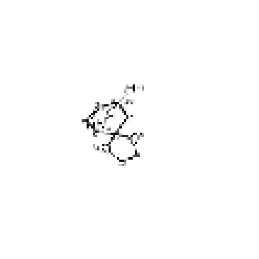 C1=C[C@@H]2CNC1C1(C2)OCCO1